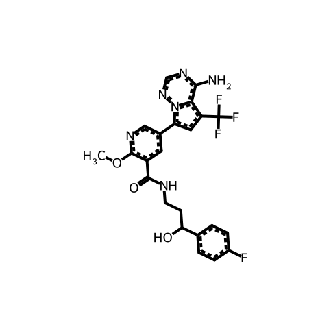 COc1ncc(-c2cc(C(F)(F)F)c3c(N)ncnn23)cc1C(=O)NCCC(O)c1ccc(F)cc1